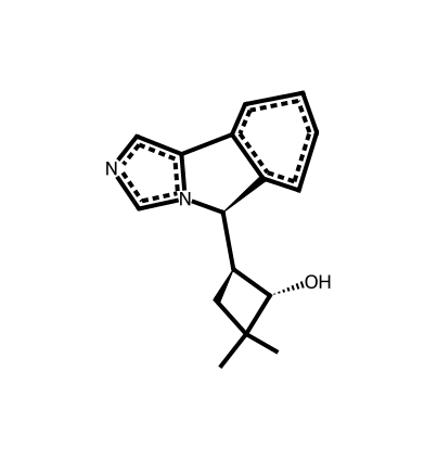 CC1(C)C[C@@H]([C@@H]2c3ccccc3-c3cncn32)[C@@H]1O